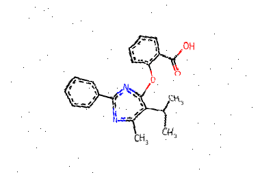 Cc1nc(-c2ccccc2)nc(Oc2ccccc2C(=O)O)c1C(C)C